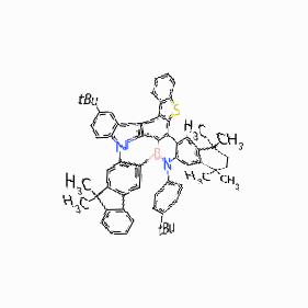 CC(C)(C)c1ccc(N2B3c4cc5c(cc4-n4c6ccc(C(C)(C)C)cc6c6c7c(sc8ccccc87)c(c3c64)-c3cc4c(cc32)C(C)(C)CCC4(C)C)C(C)(C)c2ccccc2-5)cc1